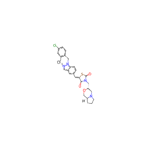 O=C1S/C(=C\c2ccc3c(cnn3Cc3ccc(Cl)cc3C(F)(F)F)c2)C(=O)N1C[C@@H]1CN2CCC[C@H]2CO1